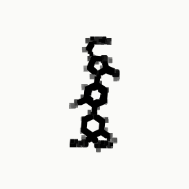 COC1(OC)CCN(c2ccc(N3C[C@H](CNC(C)=O)OC3=O)cc2F)CC1F